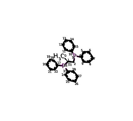 C[C@@H](CP(c1ccccc1)c1ccccc1)P(c1ccccc1)c1ccccc1